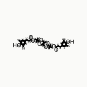 Cc1cc(CCC(=O)OCC(C)(C)C2OCC3(CO2)COC(C(C)(C)COC(=O)CCc2cc(C)c(O)c(C)c2)OC3)cc(C)c1O